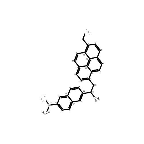 CCc1ccc2ccc3c(CC(C)c4ccc5cc(N(C)C)ccc5c4)ccc4ccc1c2c43